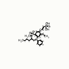 CCCCC1CN(c2ccccc2)c2cc(SC)c(OC=CP(=O)(O)O)cc2S(=O)(=O)N1C